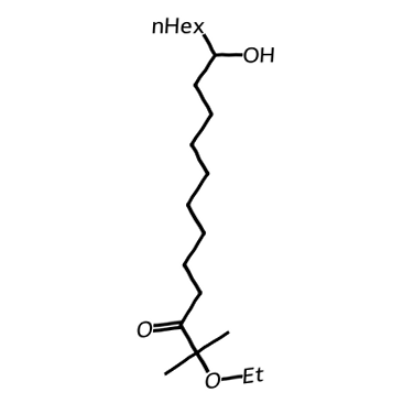 CCCCCCC(O)CCCCCCCCC(=O)C(C)(C)OCC